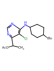 CC(=O)OC(C)c1ncnc(NC2CCC(C(C)(C)C)CC2)c1Cl